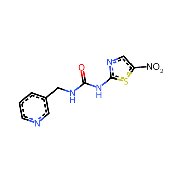 O=C(NCc1cccnc1)Nc1ncc([N+](=O)[O-])s1